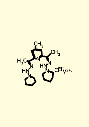 CC(=NNN1CCCCC1)c1cc(C)cc(C(C)=NNN2CCCCC2)n1.[Cl-].[Cl-].[V+2]